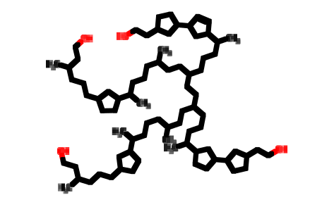 CC(CCO)CCCC1CCC(C(C)CCCC(C)CCC(CCCC(C)C2C=CC(C3CCC(CCO)C3)C2)CCC(CCCC(C)C2CCC(C3CCC(CCO)C3)C2)CCC(C)CCCC(C)C2CCC(CCCC(C)CCO)C2)C1